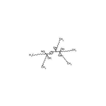 CCCCCCCCCC[C@H](CO)N(CCN1CCN(CCN([C@@H](CO)CCCCCCCCCC)[C@@H](CO)CCCCCCCCCC)CC1)CCN([C@@H](CO)CCCCCCCCCC)[C@@H](CO)CCCCCCCCCC